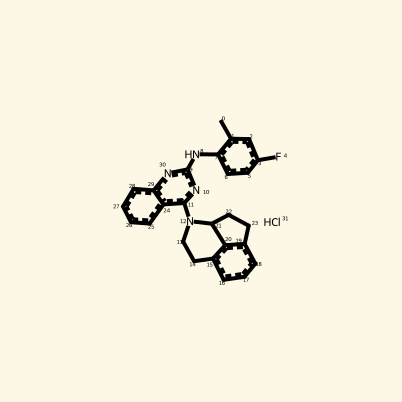 Cc1cc(F)ccc1Nc1nc(N2CCc3cccc4c3C2CC4)c2ccccc2n1.Cl